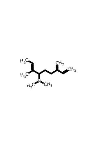 C=CC(=C)CCC(C(C)=CC)N(C)C